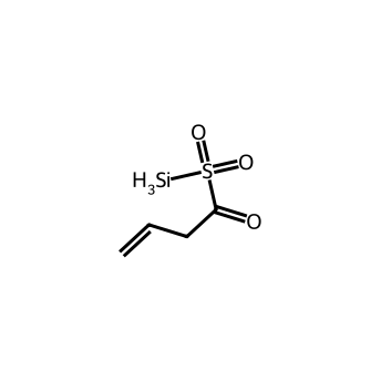 C=CCC(=O)S(=O)(=O)[SiH3]